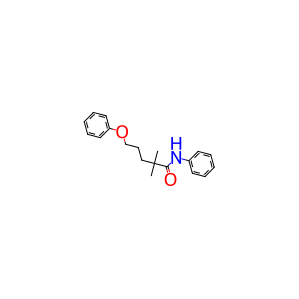 CC(C)(CCCOc1ccccc1)C(=O)Nc1ccccc1